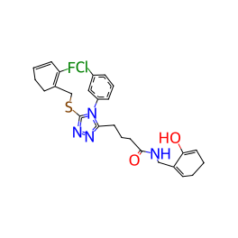 O=C(CCCc1nnc(SCC2=C(F)C=CCC2)n1-c1cccc(Cl)c1)NCC1=CCCC=C1O